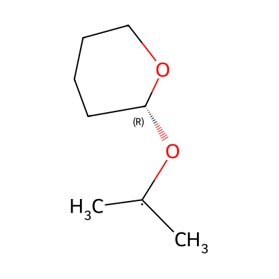 C[C](C)O[C@@H]1CCCCO1